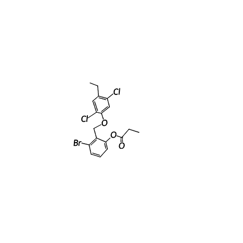 CCC(=O)Oc1cccc(Br)c1COc1cc(Cl)c(CC)cc1Cl